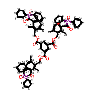 Cc1cc(C)c(C(=O)P(=O)(c2ccccc2)c2ccccc2)c(C)c1COC(=O)c1cc(C(=O)OCc2c(C)cc(C)c(C(=O)P(=O)(c3ccccc3)c3ccccc3)c2C)cc(C(=O)OCc2c(C)cc(C)c(C(=O)P(=O)(c3ccccc3)c3ccccc3)c2C)c1